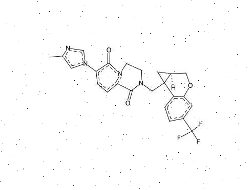 Cc1cn(-c2ccc3n(c2=O)CCN(CC24C[C@H]2COc2cc(C(F)(F)F)ccc24)C3=O)cn1